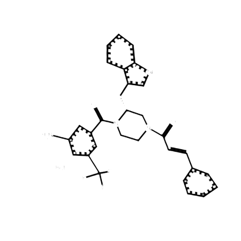 Cl.Nc1cc(C(=O)N2CCN(C(=O)/C=C/c3ccccc3)C[C@H]2Cc2c[nH]c3ccccc23)cc(C(F)(F)F)c1